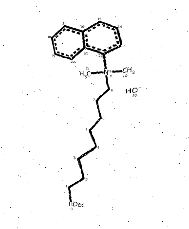 CCCCCCCCCCCCCCCCCC[N+](C)(C)c1cccc2ccccc12.[OH-]